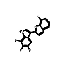 Fc1cc2c(-c3ccc4cccc(F)c4n3)c[nH]c2c(F)c1F